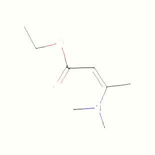 CCOC(=O)/C=C(/C)N(C)C